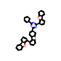 c1ccc(-c2nc(-c3ccc4c(c3)sc3cccc(-c5cccc6c5oc5ccccc56)c34)nc(-c3cccc4c3oc3ccccc34)n2)cc1